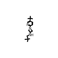 CC(C)(C)CNC1CN(c2ccc(C(C)(C)C)cn2)C1